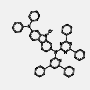 [O-][s+]1c2cc(N(c3ccccc3)c3ccccc3)ccc2c2ccc(N(c3cc(-c4ccccc4)cc(-c4ccccc4)n3)c3nc(-c4ccccc4)nc(-c4ccccc4)n3)cc21